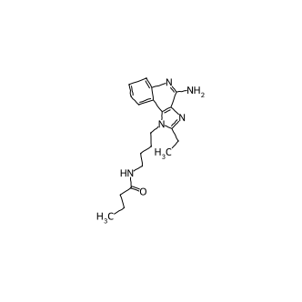 CCCC(=O)NCCCCn1c(CC)nc2c(N)nc3ccccc3c21